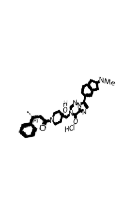 CNC1Cc2ccc(-c3cnc4c(=O)n(CC5(O)CCN(C(=O)C[C@@H](C)c6ccccc6)CC5)cnn34)cc2C1.Cl